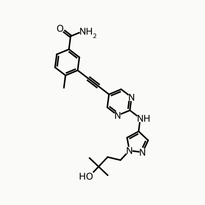 Cc1ccc(C(N)=O)cc1C#Cc1cnc(Nc2cnn(CCC(C)(C)O)c2)nc1